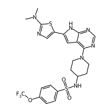 CN(C)c1ncc(-c2cc3c(N4CCC(NS(=O)(=O)c5ccc(OC(F)(F)F)cc5)CC4)ncnc3[nH]2)s1